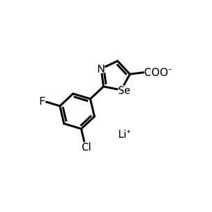 O=C([O-])c1cnc(-c2cc(F)cc(Cl)c2)[se]1.[Li+]